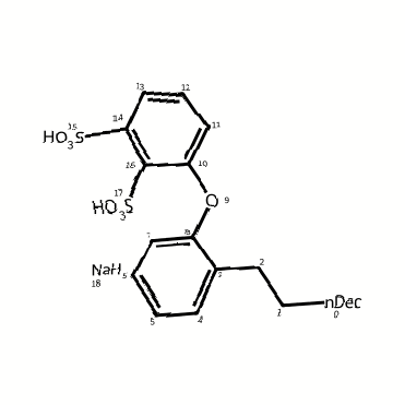 CCCCCCCCCCCCc1ccccc1Oc1cccc(S(=O)(=O)O)c1S(=O)(=O)O.[NaH]